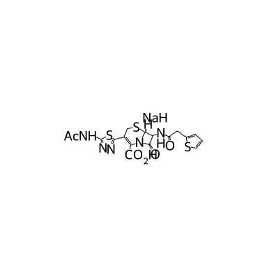 CC(=O)Nc1nnc(C2=C(C(=O)O)N3C(=O)C(NC(=O)Cc4cccs4)[C@H]3SC2)s1.[NaH]